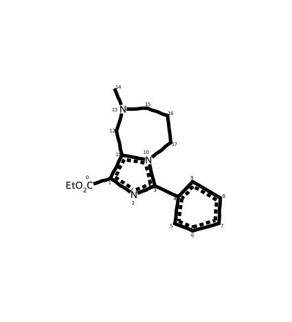 CCOC(=O)c1nc(-c2ccccc2)n2c1CN(C)CCC2